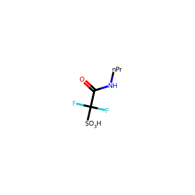 CCCNC(=O)C(F)(F)S(=O)(=O)O